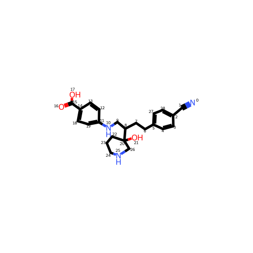 N#Cc1ccc(CCC(CNc2ccc(C(=O)O)cc2)C2(O)CCCNC2)cc1